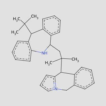 CC(C)(C)C1c2ccccc2NC(CC(C)(C)C2c3ccccc3Cn3cccc32)c2ccccc21